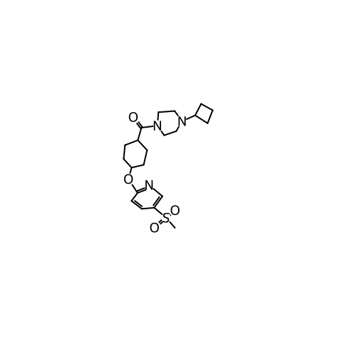 CS(=O)(=O)c1ccc(OC2CCC(C(=O)N3CCN(C4CCC4)CC3)CC2)nc1